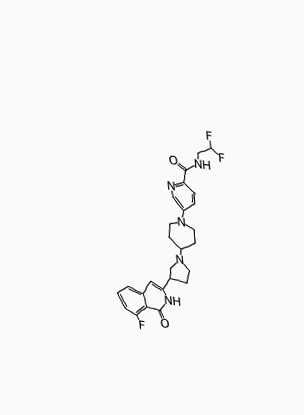 O=C(NCC(F)F)c1ccc(N2CCC(N3CCC(c4cc5cccc(F)c5c(=O)[nH]4)C3)CC2)cn1